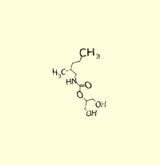 CCCC(C)CNC(=O)OC(CO)CO